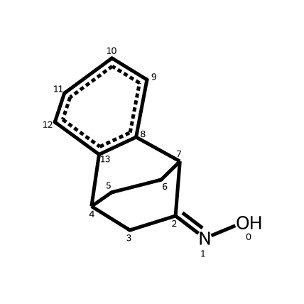 ON=C1CC2CCC1c1ccccc12